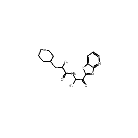 CCC(NC(=O)C(O)CC1CCCCC1)C(=O)c1nc2ncccc2o1